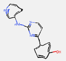 Oc1cccc(-c2ccnc(Nc3cccnc3)n2)c1